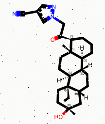 CC[C@]12CC[C@@](C)(O)C[C@H]1CC[C@H]1[C@@H]3CCC[C@H](C(=O)Cn4cc(C#N)cn4)[C@@]3(C)CC[C@@H]12